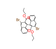 CCCOC(=O)c1c(Br)cc2ccccc2c1-c1c(C(=O)OCCC)c(Br)cc2ccccc12